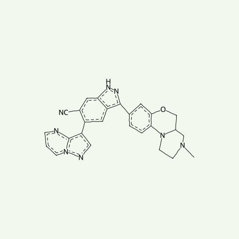 CN1CCN2c3ccc(-c4n[nH]c5cc(C#N)c(-c6cnn7cccnc67)cc45)cc3OCC2C1